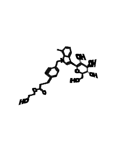 Cc1cccc2c([C@@H]3O[C@H](CO)[C@@H](O)[C@H](O)[C@H]3O)cn(Cc3ccc(CCC(=O)OCCO)cc3)c12